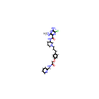 CNc1nc(N)c(Cl)nc1C(=O)NC1CCCN(CCCc2ccc(OCC(=O)NCc3ccccn3)cc2)C1